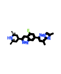 Cc1cn2nc(-c3cc(F)c4cc(C5C[C@@H](C)N[C@H](C)C5)nnc4c3)cc(C)c2n1